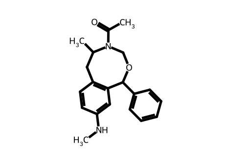 CNc1ccc2c(c1)C(c1ccccc1)OCN(C(C)=O)C(C)C2